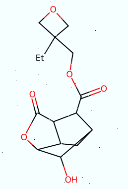 CCC1(COC(=O)C2C3CC4C(OC(=O)C42)C3O)COC1